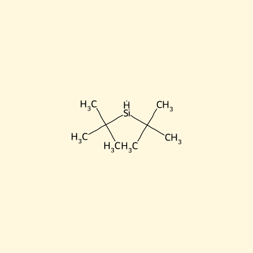 CC(C)(C)[SiH]C(C)(C)C